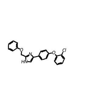 Clc1ccccc1Oc1ccc(-c2c[nH]c(COc3ccccc3)n2)cc1